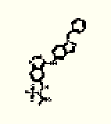 CC(=O)N(Nc1ccc2ncnc(Nc3ccc4c(cnn4Cc4ccccc4)c3)c2c1)S(C)(=O)=O